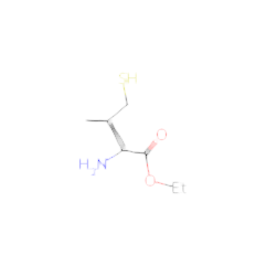 CCOC(=O)C(N)=C(C)CS